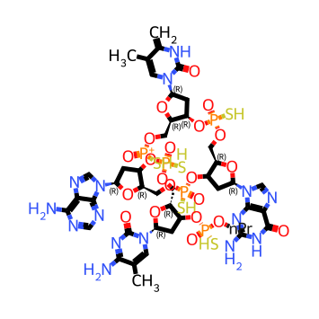 C=C1NC(=O)N([C@H]2C[C@@H](OP(=O)(S)OC[C@H]3O[C@@H](n4cnc5c(=O)[nH]c(N)nc54)CC3OP(=O)(S)OC[C@H]3O[C@@H](n4cnc5c(N)ncnc54)CC3OP(=O)(S)OC[C@H]3O[C@@H](n4cc(C)c(N)nc4=O)CC3OP(=O)(S)OCCC)[C@@H](CO[P+](=O)S)O2)C=C1C